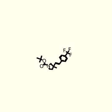 CC1(/C=C/c2ccc(C(F)(F)F)cc2)CCN(C(=O)OC(C)(C)C)C1